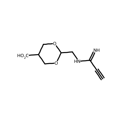 C#CC(=N)NCC1OCC(C(=O)O)CO1